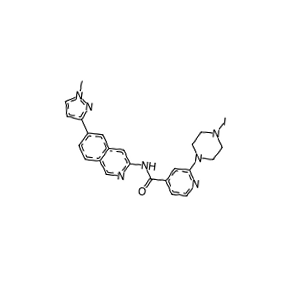 Cn1ccc(-c2ccc3cnc(NC(=O)c4ccnc(N5CCN(I)CC5)c4)cc3c2)n1